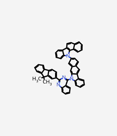 CC1(C)c2ccccc2-c2ccc(-c3nc(-n4c5ccccc5c5cc6ccc(-n7c8ccccc8c8ccc9ccccc9c87)cc6cc54)c4ccccc4n3)cc21